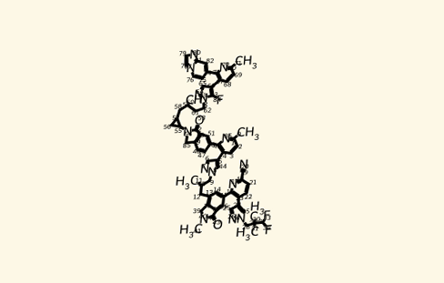 Cc1ccc(-c2cnn(CC(C)Cc3cc(-c4nc(C#N)ccc4-c4cnn(CC(C)(C)C(F)F)c4)cc4c3CN(C)C4=O)c2)c(-c2ccc3c(c2)C(=O)N(C2CC2CC(C)CCn2ncc(-c4ccc(C)nc4-c4ccn5ccnc5c4)c2F)C3)n1